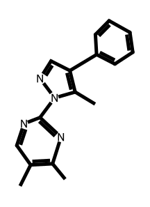 Cc1cnc(-n2ncc(-c3ccccc3)c2C)nc1C